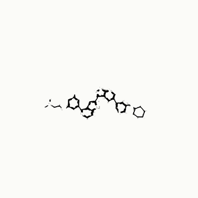 CN(C)CCOc1cc(F)cc(-c2nccc3[nH]c(-c4n[nH]c5ncc(-c6cncc(OC7CCCCC7)c6)cc45)cc23)c1